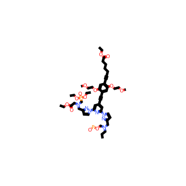 CCCN(COP=O)Cc1ccn(-c2cc(C#Cc3cc(OCCOC)c(C#CCCCCC(=O)OCC)cc3OCCOC)cc(-n3ccc(CN(CC(=O)OCC)CP(=O)(OCC)OCC)n3)n2)n1